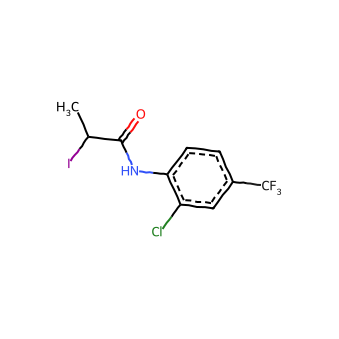 CC(I)C(=O)Nc1ccc(C(F)(F)F)cc1Cl